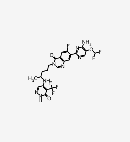 CC(CCCn1cnc2cc(-c3ncc(OC(F)F)c(N)n3)c(F)cc2c1=O)Nc1cn[nH]c(=O)c1C(F)(F)F